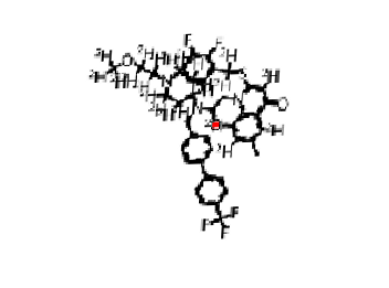 [2H]c1c(C)c([2H])c2c(=O)c([2H])c(SC([2H])([2H])c3cccc(F)c3F)n(CC(=O)N(Cc3ccc(-c4ccc(C(F)(F)F)cc4)cc3)C3([2H])C([2H])([2H])C([2H])([2H])N(C([2H])([2H])C([2H])([2H])OC([2H])([2H])[2H])C([2H])([2H])C3([2H])[2H])c2c1[2H]